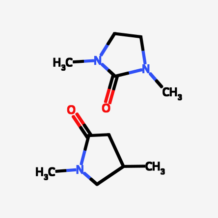 CC1CC(=O)N(C)C1.CN1CCN(C)C1=O